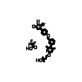 Cc1cc(OCCC(C)(C)O)nc(C)c1-c1cccc(COc2ccc(C3CC(=O)N[S+]3[O-])cc2)c1.O=C(O)C(F)(F)F